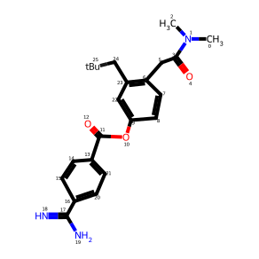 CN(C)C(=O)Cc1ccc(OC(=O)c2ccc(C(=N)N)cc2)cc1CC(C)(C)C